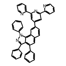 c1ccc(-c2cc3ccc(-c4cc(-c5ccccn5)nc(-c5ccccn5)c4)cc3c3c2c(-c2ccccc2)nn3-c2ccccc2)cc1